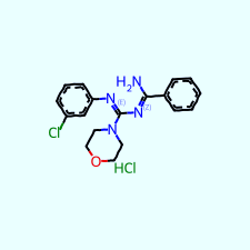 Cl.N/C(=N\C(=N\c1cccc(Cl)c1)N1CCOCC1)c1ccccc1